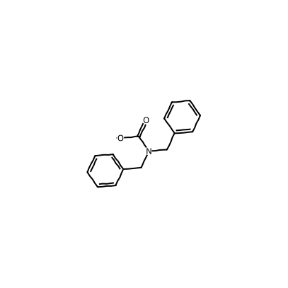 [O]C(=O)N(Cc1ccccc1)Cc1ccccc1